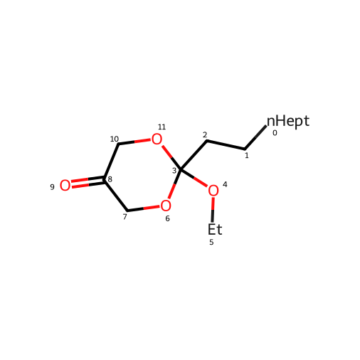 CCCCCCCCCC1(OCC)OCC(=O)CO1